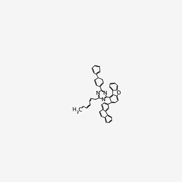 C=C/C=C\C=C/Cc1nc(C2=CCC(c3ccccc3)C=C2)nc(-c2c(-c3ccc4ccc5ccccc5c4c3)ccc3oc4ccccc4c23)n1